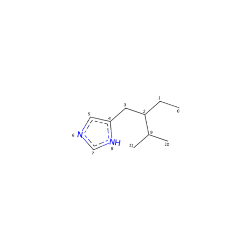 CCC(Cc1cnc[nH]1)C(C)C